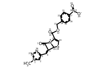 Cn1cc(C=C2C(=O)N3C(C(=O)OCc4ccc([N+](=O)[O-])cc4)=CSC23)nn1